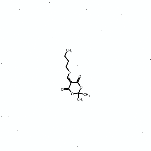 CCCCSC=C1C(=O)OC(C)(C)OC1=O